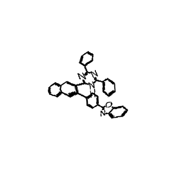 c1ccc(C2=NC(c3cc4ccccc4cc3-c3ccc(-c4nc5ccccc5o4)cc3)NC(c3ccccc3)=N2)cc1